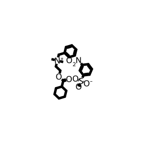 C[N+](C)(CCOC(=O)C1CCCCC1)Cc1ccccc1.O=[N+]([O-])c1cccc(S(=O)(=O)[O-])c1